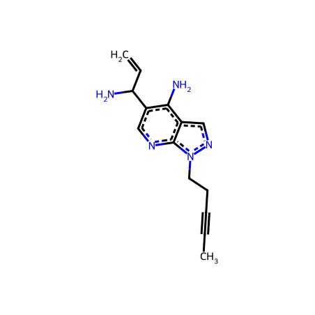 C=CC(N)c1cnc2c(cnn2CCC#CC)c1N